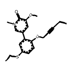 CCC#CCOc1ccc(SCC)cc1-c1cc(OC)c(=O)n(C)c1